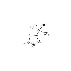 CC1=NOC(C(O)(C(F)(F)F)C(F)(F)F)C1